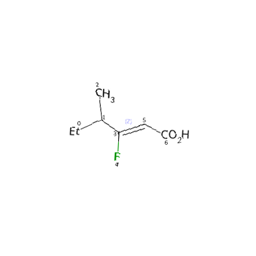 CCC(C)/C(F)=C/C(=O)O